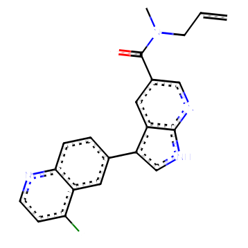 C=CCN(C)C(=O)c1cnc2[nH]cc(-c3ccc4nccc(Cl)c4c3)c2c1